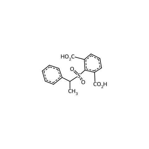 CC(c1ccccc1)S(=O)(=O)c1c(C(=O)O)cccc1C(=O)O